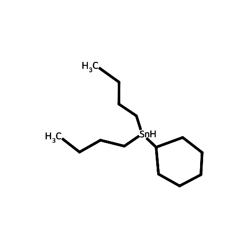 CCC[CH2][SnH]([CH2]CCC)[CH]1CCCCC1